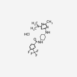 Cc1nc(N[C@H]2CC[C@@H](NC(=O)c3ccc(F)c(C(F)(F)F)c3)CC2)cc(N(C)C)n1.Cl